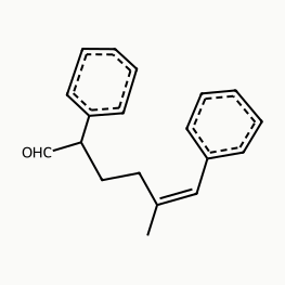 CC(=Cc1ccccc1)CCC(C=O)c1ccccc1